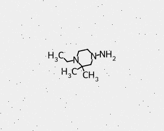 CCN1CCN(N)CC1(C)C